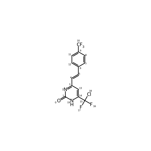 O=c1nc(C=Cc2ccc(C(F)(F)F)cc2)cc(C(F)(F)Cl)[nH]1